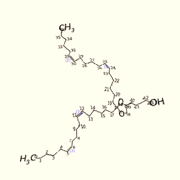 CCCCC/C=C\CCCC/C=C\CCCCCC1(CCCCC/C=C\CCCC/C=C\CCCCC)OC[C@H](CCCO)O1